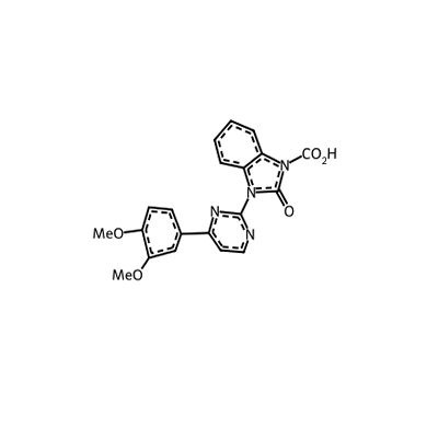 COc1ccc(-c2ccnc(-n3c(=O)n(C(=O)O)c4ccccc43)n2)cc1OC